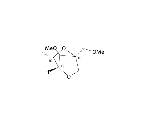 COC[C@]12CO[C@@H](C1OC)[C@H](C)O2